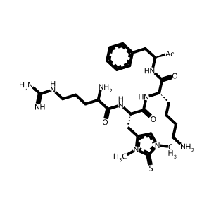 CC(=O)[C@H](Cc1ccccc1)NC(=O)[C@H](CCCCN)NC(=O)[C@H](Cc1cn(C)c(=S)n1C)NC(=O)C(N)CCCNC(=N)N